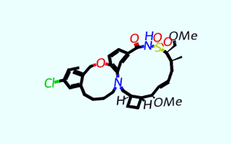 C=C1COc2ccc3cc2N(CCCC/C1=C/C(Cl)=C\C)C[C@@H]1CC[C@H]1[C@@H](OC)/C=C/C[C@H](C)[C@H](COC)S(=O)(=O)NC3=O